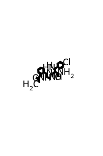 C=CC(=O)Nc1ccccc1C1CCN/C(=C(/C(=N)c2ccc(Cl)cc2)C(N)=O)N1